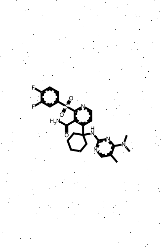 Cc1cnc(NC2(c3ccnc(S(=O)(=O)c4ccc(F)c(F)c4)c3C(N)=O)CCCCC2)nc1N(C)C